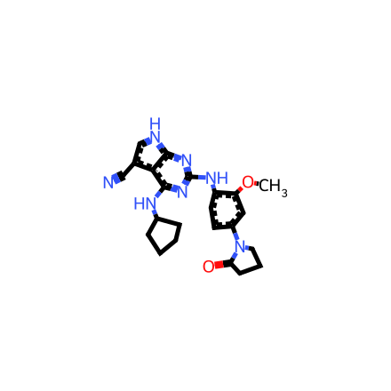 COc1cc(N2CCCC2=O)ccc1Nc1nc(NC2CCCC2)c2c(C#N)c[nH]c2n1